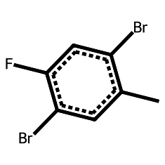 Cc1cc(Br)c(F)cc1Br